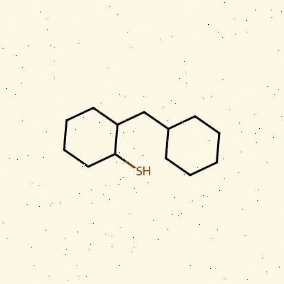 SC1CCCCC1CC1CCCCC1